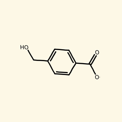 [O]C(=O)c1ccc(CO)cc1